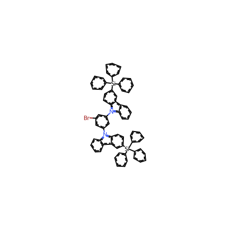 Brc1cc(-n2c3ccccc3c3cc([Si](c4ccccc4)(c4ccccc4)c4ccccc4)ccc32)cc(-n2c3ccccc3c3cc([Si](c4ccccc4)(c4ccccc4)c4ccccc4)ccc32)c1